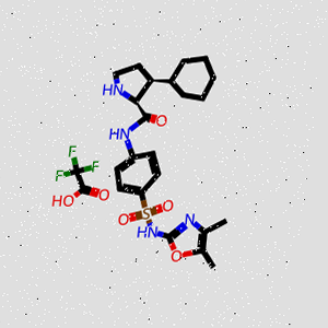 Cc1nc(NS(=O)(=O)c2ccc(NC(=O)[C@H]3NCC[C@H]3C3CCCCC3)cc2)oc1C.O=C(O)C(F)(F)F